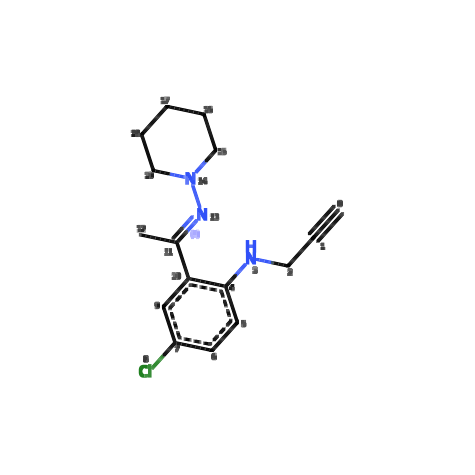 C#CCNc1ccc(Cl)cc1/C(C)=N/N1CCCCC1